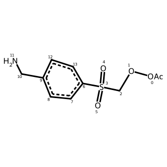 CC(=O)OOCS(=O)(=O)c1ccc(CN)cc1